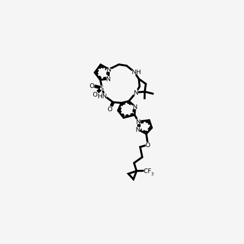 CC1(C)CC2CN1c1nc(-n3ccc(OCCCC4(C(F)(F)F)CC4)n3)ccc1C(=O)NS(=O)(=O)c1ccn(n1)CCN2